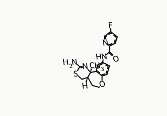 C[C@]12N=C(N)SC[C@H]1CCOc1ccc(NC(=O)c3ccc(F)cn3)cc12